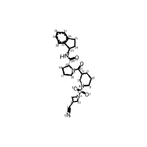 N#CC1CN(S(=O)(=O)N2CCCC(C(=O)N3CCC[C@@H]3C(=O)NC3CCc4ccccc43)C2)C1